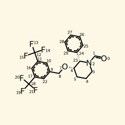 O=CN1CCC[C@H](OCc2cc(C(F)(F)F)cc(C(F)(F)F)c2)[C@@H]1c1ccccc1